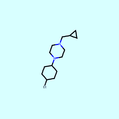 CCC1CCC(N2CCN(CC3CC3)CC2)CC1